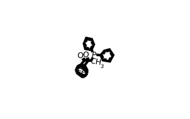 CC(=O)[C]12[CH]3[CH]4[CH]5[CH]1[Fe]45321678[CH]2[CH]1[CH]6[C]7(C(=O)CP(c1ccccc1)c1ccccc1)[CH]28